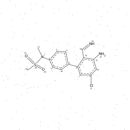 CN(c1ccc(-c2cc(Cl)cc(N)c2C=N)cc1)S(C)(=O)=O